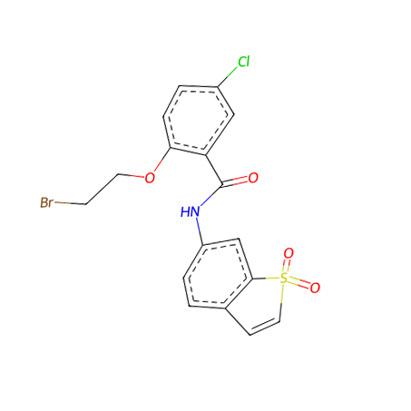 O=C(Nc1ccc2c(c1)S(=O)(=O)C=C2)c1cc(Cl)ccc1OCCBr